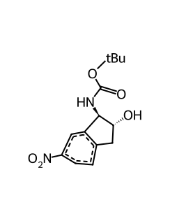 CC(C)(C)OC(=O)N[C@@H]1c2cc([N+](=O)[O-])ccc2C[C@H]1O